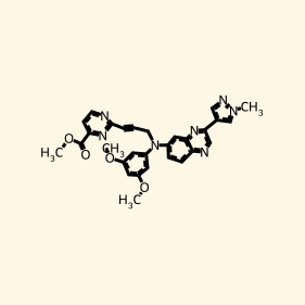 COC(=O)c1ccnc(C#CCN(c2cc(OC)cc(OC)c2)c2ccc3ncc(-c4cnn(C)c4)nc3c2)n1